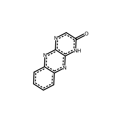 O=c1cnc2nc3ccccc3nc2[nH]1